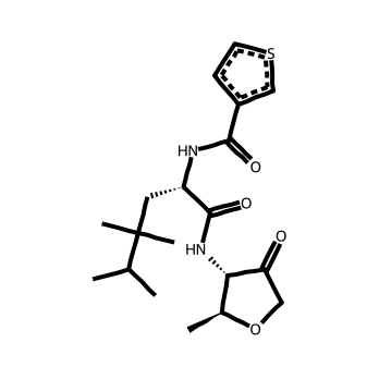 CC(C)C(C)(C)C[C@H](NC(=O)c1ccsc1)C(=O)N[C@@H]1C(=O)CO[C@H]1C